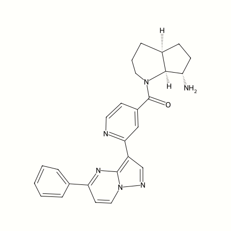 N[C@H]1CC[C@@H]2CCCN(C(=O)c3ccnc(-c4cnn5ccc(-c6ccccc6)nc45)c3)[C@@H]21